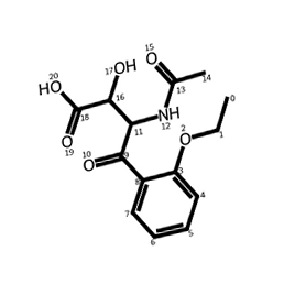 CCOc1ccccc1C(=O)C(NC(C)=O)C(O)C(=O)O